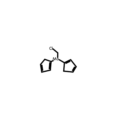 Cl[CH2][Mo]([C]1=CC=CC1)[C]1=CC=CC1